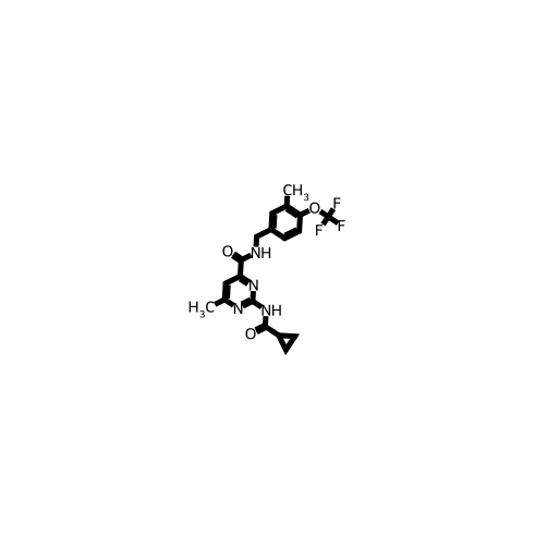 Cc1cc(C(=O)NCc2ccc(OC(F)(F)F)c(C)c2)nc(NC(=O)C2CC2)n1